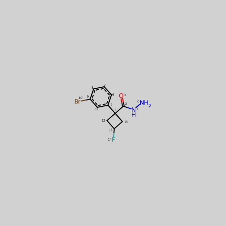 NNC(=O)C1(c2cccc(Br)c2)CC(F)C1